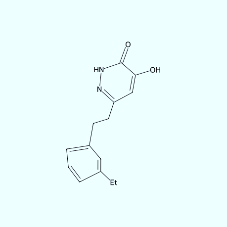 CCc1cccc(CCc2cc(O)c(=O)[nH]n2)c1